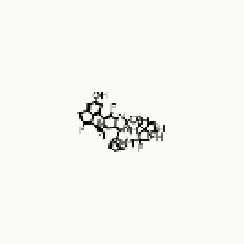 [2H]C#Cc1c(F)ccc2cc(O)cc(-c3ncc4c(N5CC6CCC5CN6)nc(OC([2H])([2H])[C@@]56CCC([2H])([2H])N5C[C@]([2H])(F)C6)nc4c3F)c12